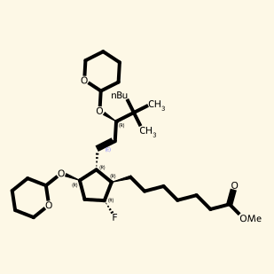 CCCCC(C)(C)[C@@H](/C=C/[C@@H]1[C@@H](CCCCCCC(=O)OC)[C@H](F)C[C@H]1OC1CCCCO1)OC1CCCCO1